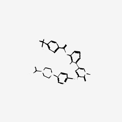 Cc1c(NC(=O)c2ccc(C(C)(C)C)cc2)cccc1-c1cc(Nc2ccc(N3CCN(C(C)C)CC3)cn2)c(=O)n(C)c1